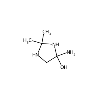 CC1(C)NCC(N)(O)N1